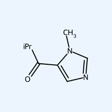 CC(C)C(=O)c1cncn1C